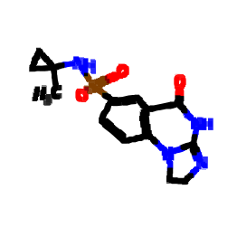 CC1(NS(=O)(=O)c2ccc3c(c2)C(=O)NC2=NCCN23)CC1